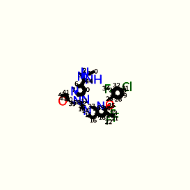 Cc1nnc(-c2cnc3c(c2)nc(CN2CCc4cc(C(F)(F)F)c(OCc5ccc(Cl)cc5F)nc4C2)n3C[C@@H]2CCO2)[nH]1